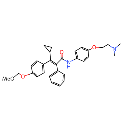 COCOc1ccc(C(=C(C(=O)Nc2ccc(OCCN(C)C)cc2)c2ccccc2)C2CC2)cc1